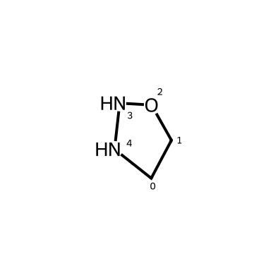 C1CONN1